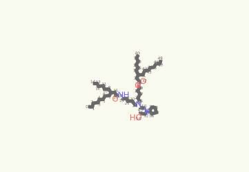 CCCCCCCCC(CCCCCC)CC(=O)NCCCCCN(CCCCCOC(=O)CC(CCCCCC)CCCCCCCC)CCN(CCO)C1CCCC1